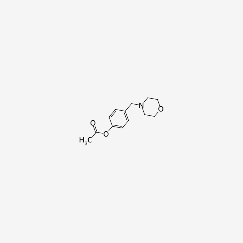 CC(=O)Oc1ccc(CN2CCOCC2)cc1